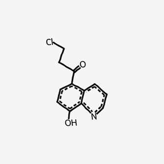 O=C(CCCl)c1ccc(O)c2ncccc12